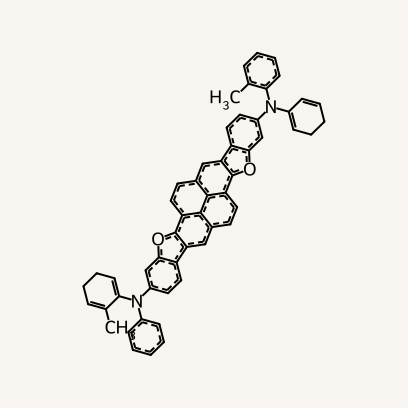 CC1=CCCC=C1N(c1ccccc1)c1ccc2c(c1)oc1c2cc2ccc3c4oc5cc(N(C6=CCCC=C6)c6ccccc6C)ccc5c4cc4ccc1c2c43